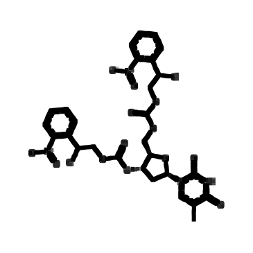 Cc1cn([C@H]2C[C@H](OC(=O)OCC(Cl)c3ccccc3[N+](=O)[O-])[C@@H](COC(=O)OCC(Cl)c3ccccc3[N+](=O)[O-])O2)c(=O)[nH]c1=O